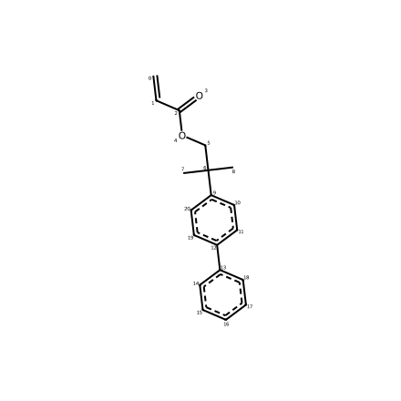 C=CC(=O)OCC(C)(C)c1ccc(-c2ccccc2)cc1